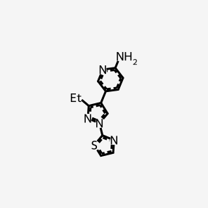 CCc1nn(-c2nccs2)cc1-c1ccc(N)nc1